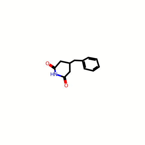 O=C1CC(Cc2ccccc2)CC(=O)N1